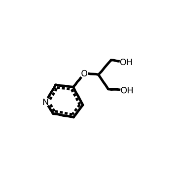 OCC(CO)Oc1cccnc1